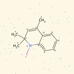 CC1=CC(C)(C)N(I)c2ccccc21